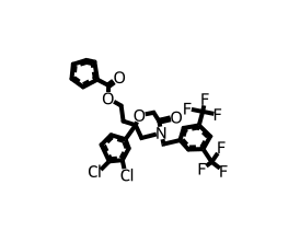 O=C(OCCC1(c2ccc(Cl)c(Cl)c2)CN(Cc2cc(C(F)(F)F)cc(C(F)(F)F)c2)C(=O)CO1)c1ccccc1